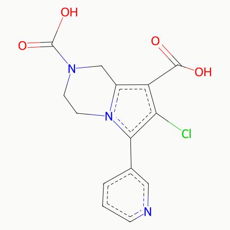 O=C(O)c1c(Cl)c(-c2cccnc2)n2c1CN(C(=O)O)CC2